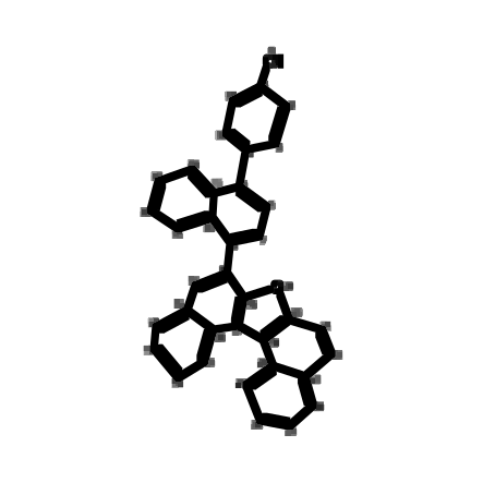 N#Cc1ccc(-c2ccc(-c3cc4ccccc4c4c3oc3ccc5ccccc5c34)c3ccccc23)cc1